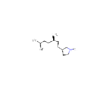 C=C(CCC(CCC)CCC)CCC1CCN(CC)C1